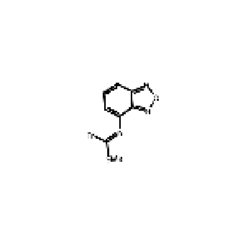 CSC(=Nc1cccc2nonc12)C(C)C